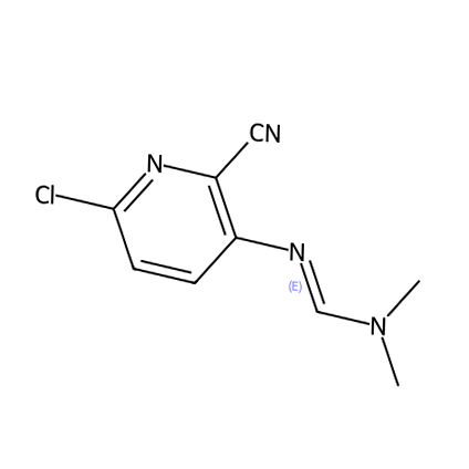 CN(C)/C=N/c1ccc(Cl)nc1C#N